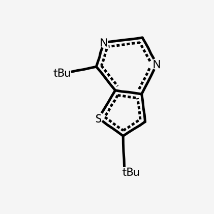 CC(C)(C)c1cc2ncnc(C(C)(C)C)c2s1